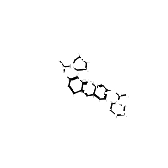 CC(Oc1ccc2cc3ccc(OC(C)N4CCCCC4)cc3nc2c1)N1CCCCC1